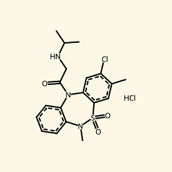 Cc1cc2c(cc1Cl)N(C(=O)CNC(C)C)c1ccccc1N(C)S2(=O)=O.Cl